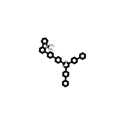 C[Si]1(C)c2ccccc2-c2cccc(-c3ccc(-c4ccc(-c5nc(-c6ccc(-c7ccccc7)cc6)cc(-c6ccc(-c7ccccc7)cc6)n5)cc4)cc3)c21